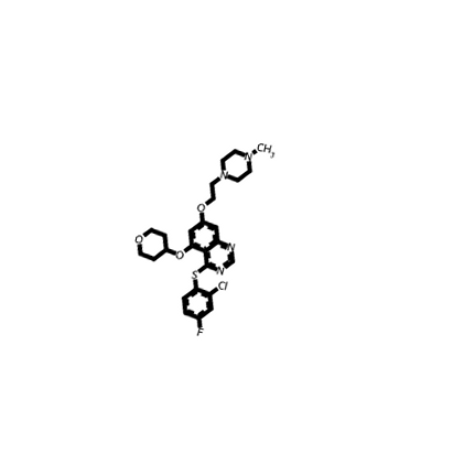 CN1CCN(CCOc2cc(OC3CCOCC3)c3c(Sc4ccc(F)cc4Cl)ncnc3c2)CC1